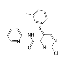 Cc1ccccc1.O=C(Nc1ccccn1)C1N=C(Cl)N=CC1=S